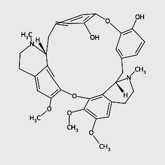 COc1cc2c3cc1Oc1c(OC)c(OC)cc4c1[C@H](Cc1ccc(O)c(c1)Oc1ccc(cc1O)C[C@H]3N(C)CC2)N(C)CC4